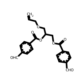 C=CCOCC(COC(=O)c1ccc(C=O)cc1)OC(=O)c1ccc(C=O)cc1